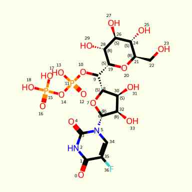 O=c1[nH]c(=O)n([C@@H]2O[C@H](C(OP(=O)(O)OP(=O)(O)O)[C@H]3O[C@H](CO)[C@@H](O)[C@H](O)[C@H]3O)[C@@H](O)[C@H]2O)cc1F